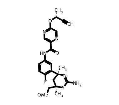 C#C[C@@H](C)Oc1cnc(C(=O)Nc2ccc(F)c([C@]3(C)C[C@](C)(COC)SC(N)=N3)c2)cn1